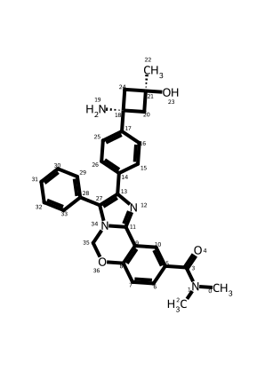 CN(C)C(=O)c1ccc2c(c1)-c1nc(-c3ccc([C@]4(N)C[C@](C)(O)C4)cc3)c(-c3ccccc3)n1CO2